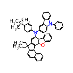 CCC1(CC)c2ccc3ccccc3c2-c2c1cc(N(c1ccc([Si](C)(C)C)cc1)c1ccc3c(c1)c1ccccc1n3-c1ccccc1)c1c2oc2ccccc21